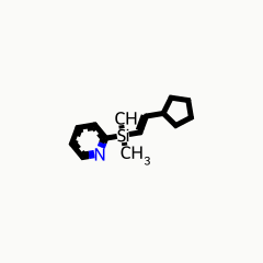 C[Si](C)(/C=C/C1CCCC1)c1ccccn1